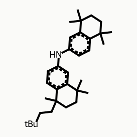 CC(C)(C)CCC1(C)CCC(C)(C)c2cc(Nc3ccc4c(c3)C(C)(C)CCC4(C)C)ccc21